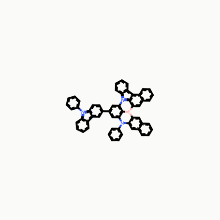 c1ccc(N2c3cc4ccccc4cc3B3c4c2cc(-c2ccc5c(c2)c2ccccc2n5-c2ccccc2)cc4-n2c4ccccc4c4c5ccccc5cc3c42)cc1